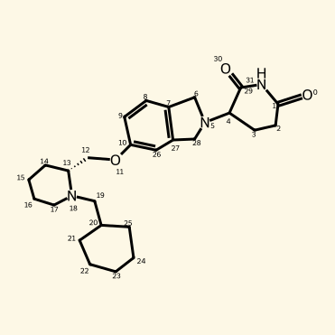 O=C1CCC(N2Cc3ccc(OC[C@H]4CCCCN4CC4CCCCC4)cc3C2)C(=O)N1